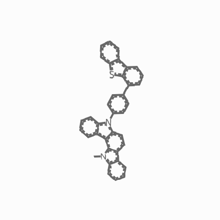 Cn1c2ccccc2c2ccc3c(c4ccccc4n3-c3ccc(-c4cccc5c4sc4ccccc45)cc3)c21